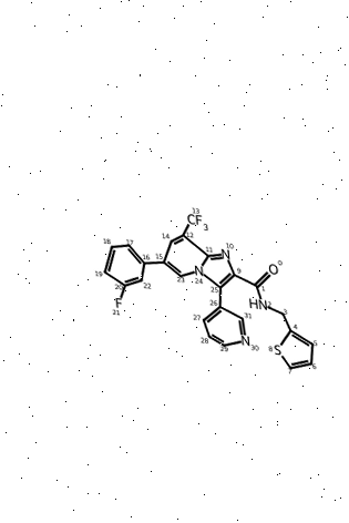 O=C(NCc1cccs1)c1nc2c(C(F)(F)F)cc(-c3cccc(F)c3)cn2c1-c1cccnc1